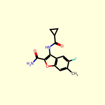 Cc1cc2oc(C(N)=O)c(NC(=O)C3CC3)c2cc1F